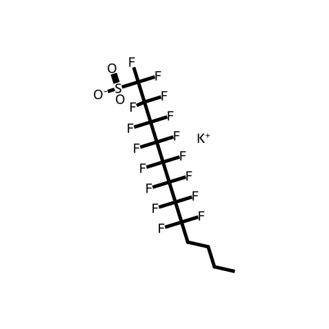 CCCCC(F)(F)C(F)(F)C(F)(F)C(F)(F)C(F)(F)C(F)(F)C(F)(F)C(F)(F)S(=O)(=O)[O-].[K+]